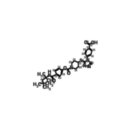 CC(C)(C)CC(C)(C)NC(=O)c1ccc(OC(=O)N2CCC(Sc3nnnn3-c3ccc(C(=O)O)cc3)CC2)cc1